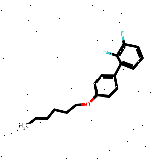 CCCCCCOC1CC=C(c2cccc(F)c2F)CC1